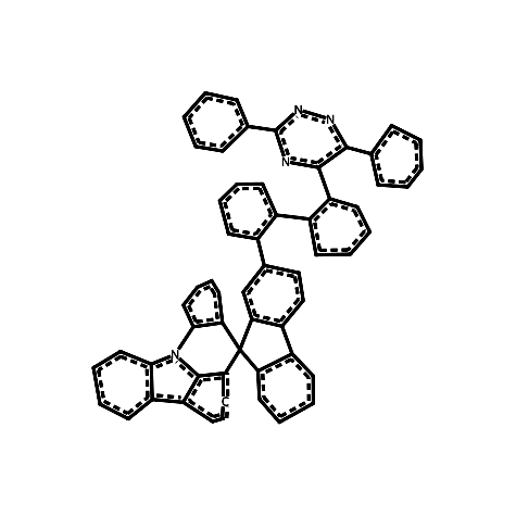 c1ccc(-c2nnc(-c3ccccc3)c(-c3ccccc3-c3ccccc3-c3ccc4c(c3)C3(c5ccccc5-4)c4ccccc4-n4c5ccccc5c5cccc3c54)n2)cc1